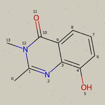 Cc1nc2c(O)cccc2c(=O)n1C